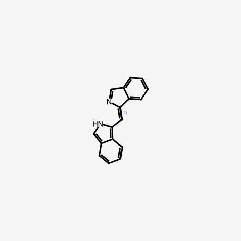 C1=N/C(=C\c2[nH]cc3ccccc23)c2ccccc21